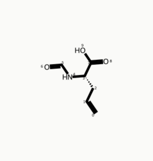 C=CC[C@H](NC=O)C(=O)O